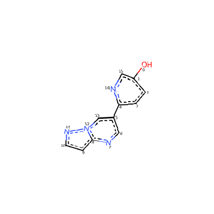 Oc1ccc(-c2cnc3ccnn3c2)nc1